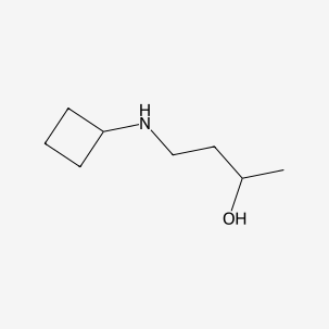 CC(O)CCNC1CCC1